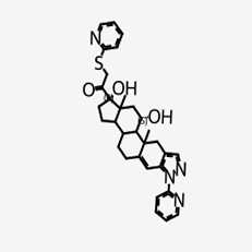 CC12Cc3cnn(-c4ccccn4)c3C=C1CCC1C2[C@@H](O)CC2(C)C1CC[C@]2(O)C(=O)CSc1ccccn1